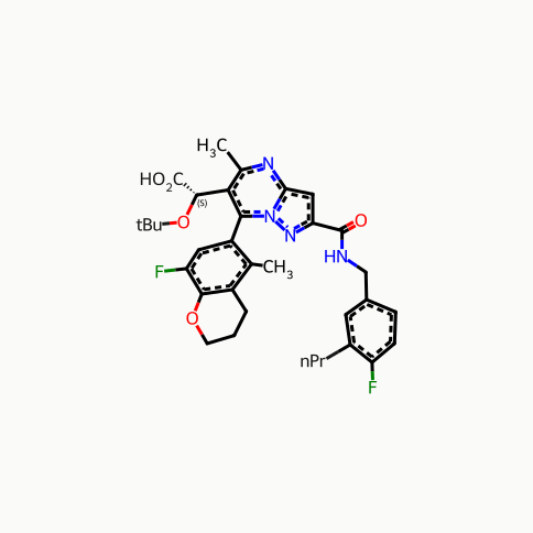 CCCc1cc(CNC(=O)c2cc3nc(C)c([C@H](OC(C)(C)C)C(=O)O)c(-c4cc(F)c5c(c4C)CCCO5)n3n2)ccc1F